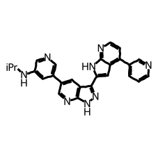 CC(C)Nc1cncc(-c2cnc3[nH]nc(-c4cc5c(-c6cccnc6)ccnc5[nH]4)c3c2)c1